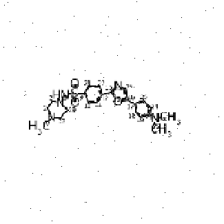 CN1CCN(NS(=O)(=O)c2ccc(-c3ncc(-c4ccc(N(C)C)cc4)o3)cc2)CC1